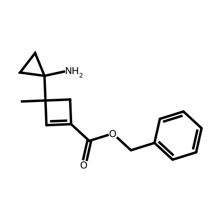 CC1(C2(N)CC2)C=C(C(=O)OCc2ccccc2)C1